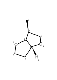 C[C@H]1CO[C@@H]2CCOC12